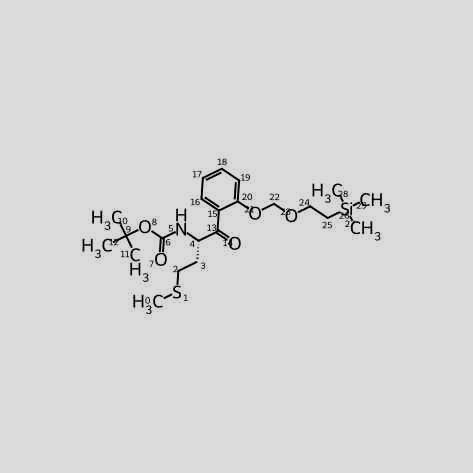 CSCC[C@H](NC(=O)OC(C)(C)C)C(=O)c1ccccc1OCOCC[Si](C)(C)C